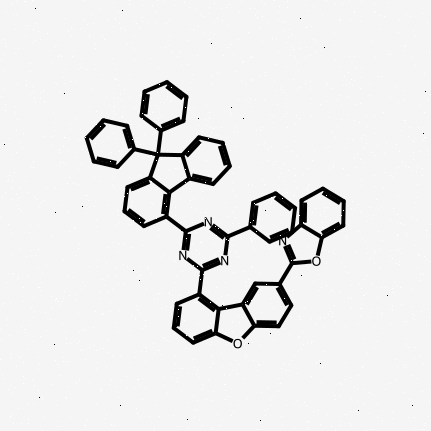 c1ccc(-c2nc(-c3cccc4c3-c3ccccc3C4(c3ccccc3)c3ccccc3)nc(-c3cccc4oc5ccc(-c6nc7ccccc7o6)cc5c34)n2)cc1